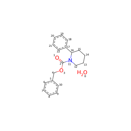 O.O=C(OCc1ccccc1)N1CCCCC1c1ccccc1